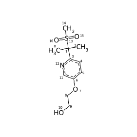 CC(C)(c1ccc(OCCO)cn1)S(C)(=O)=O